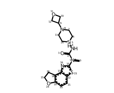 C=[N+](C(=O)N[SiH]1CCN(C2COC2)CC1)c1nc2c3c(ccc2s1)OCC3